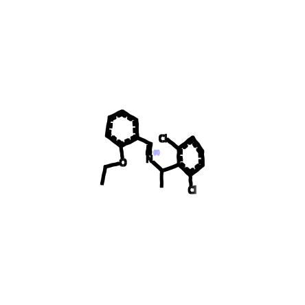 CCOc1ccccc1/C=N/C(C)c1c(Cl)cccc1Cl